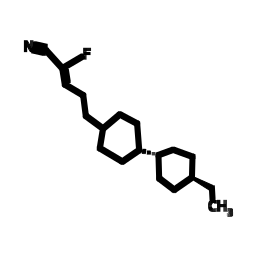 CC[C@H]1CC[C@H](C2CCC(CC/C=C(\F)C#N)CC2)CC1